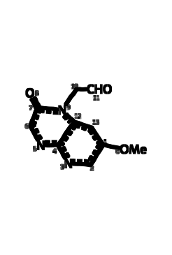 COc1cnc2ncc(=O)n(CC=O)c2c1